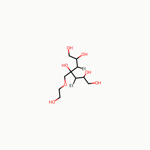 CCC(C(O)CO)C(O)(COCCO)C(CC)C(O)CO